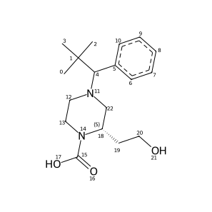 CC(C)(C)C(c1ccccc1)N1CCN(C(=O)O)[C@@H](CCO)C1